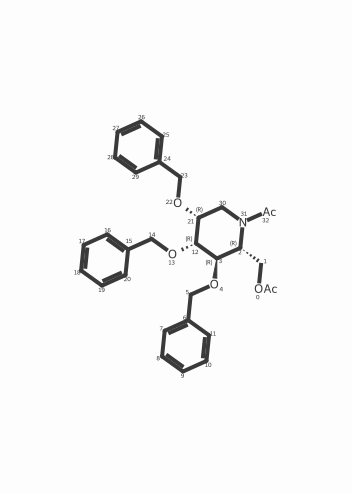 CC(=O)OC[C@@H]1[C@@H](OCc2ccccc2)[C@H](OCc2ccccc2)[C@H](OCc2ccccc2)CN1C(C)=O